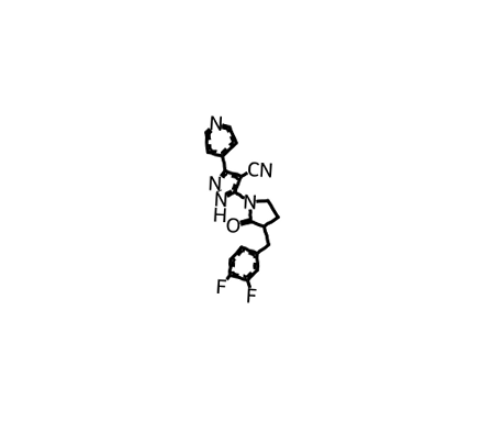 N#Cc1c(-c2ccncc2)n[nH]c1N1CCC(Cc2ccc(F)c(F)c2)C1=O